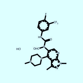 Cc1nn(C)c2ncc(N(C=O)C(=O)Nc3ccc(F)c(C(F)(F)F)c3)c(N3CCN(C)CC3)c12.Cl